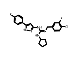 Fc1ccc(-c2cc(N/C(=N\Cc3ccc(Cl)c(F)c3)NC3CCCC3)n[nH]2)cc1